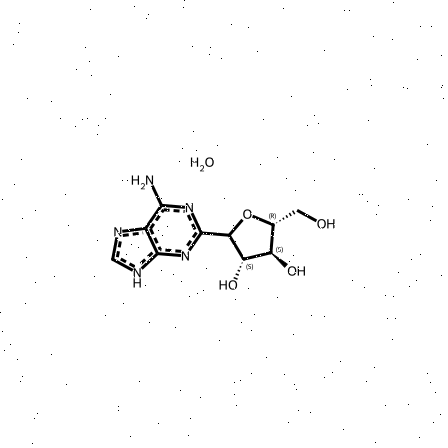 Nc1nc(C2O[C@H](CO)[C@@H](O)[C@@H]2O)nc2[nH]cnc12.O